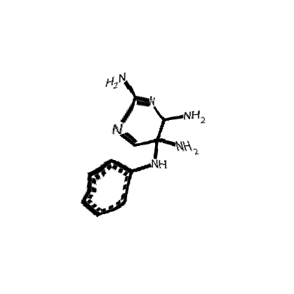 NC1=NC(N)C(N)(Nc2ccccc2)C=N1